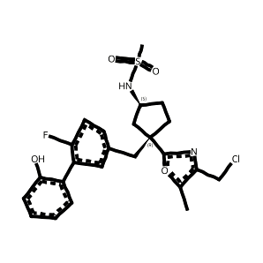 Cc1oc([C@@]2(Cc3ccc(F)c(-c4ccccc4O)c3)CC[C@H](NS(C)(=O)=O)C2)nc1CCl